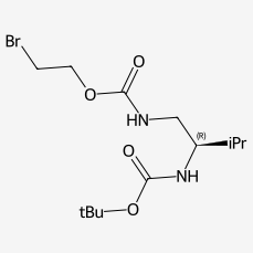 CC(C)[C@H](CNC(=O)OCCBr)NC(=O)OC(C)(C)C